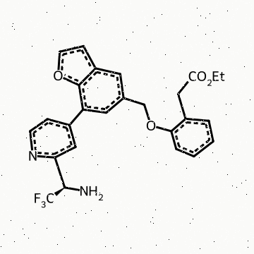 CCOC(=O)Cc1ccccc1OCc1cc(-c2ccnc([C@@H](N)C(F)(F)F)c2)c2occc2c1